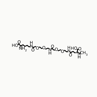 CN[C@@H](CCC(=O)NCCOCCOCC(=O)NCCOCCOCC(=O)NCCCC[C@H](N)C(=O)O)C(=O)O